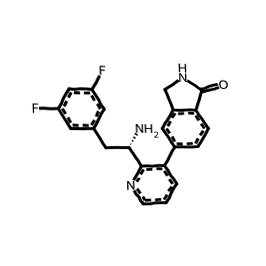 N[C@@H](Cc1cc(F)cc(F)c1)c1ncccc1-c1ccc2c(c1)CNC2=O